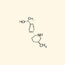 CC(O)c1ccc([C@H]2CC[C@H](C)CN2)cc1